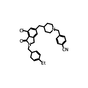 CCC1=CCC(CN2Cc3cc(CC4CCN(Cc5ccc(C#N)cc5)CC4)cc(Cl)c3C2=O)C=C1